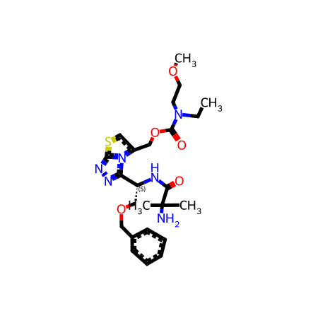 CCN(CCOC)C(=O)OCc1csc2nnc([C@@H](COCc3ccccc3)NC(=O)C(C)(C)N)n12